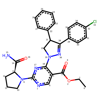 CCOC(=O)c1cnc(N2CCC[C@H]2C(N)=O)nc1N1CC(c2ccccc2)C(c2ccc(Cl)cc2)=N1